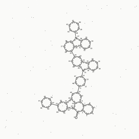 O=c1c2ccccc2c2cc(-c3ccc(-n4c5ccccc5c5cc(-c6cccc7c6c6ccccc6n7-c6ccccc6)ccc54)cc3)cc3c4cc(-c5ccccc5)ccc4n1c23